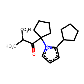 O=C(O)C(C(=O)O)C(=O)C1(n2cccc2C2CCCC2)CCCC1